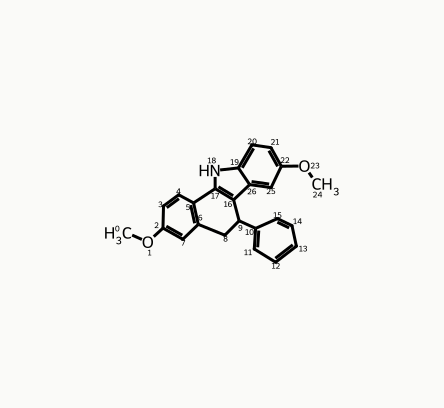 COc1ccc2c(c1)CC(c1ccccc1)c1c-2[nH]c2ccc(OC)cc12